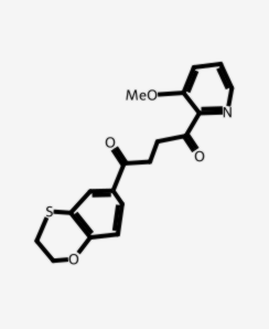 COc1cccnc1C(=O)CCC(=O)c1ccc2c(c1)SCCO2